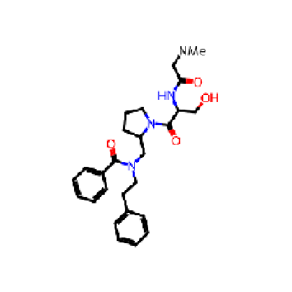 CNCC(=O)NC(CO)C(=O)N1CCCC1CN(CCc1ccccc1)C(=O)c1ccccc1